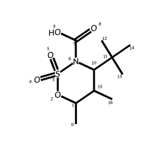 CC1OS(=O)(=O)N(C(=O)O)C(C(C)(C)C)C1C